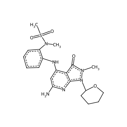 CN(c1ccccc1Nc1cc(N)nc2c1c(=O)n(C)n2C1CCCCO1)S(C)(=O)=O